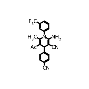 CC(=O)C1=C(C)N(c2cccc(C(F)(F)F)c2)C(N)=C(C#N)C1c1ccc(C#N)cc1